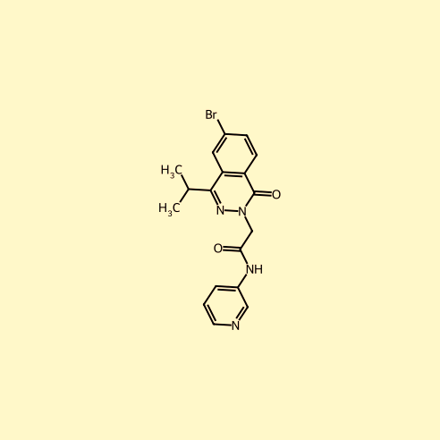 CC(C)c1nn(CC(=O)Nc2cccnc2)c(=O)c2ccc(Br)cc12